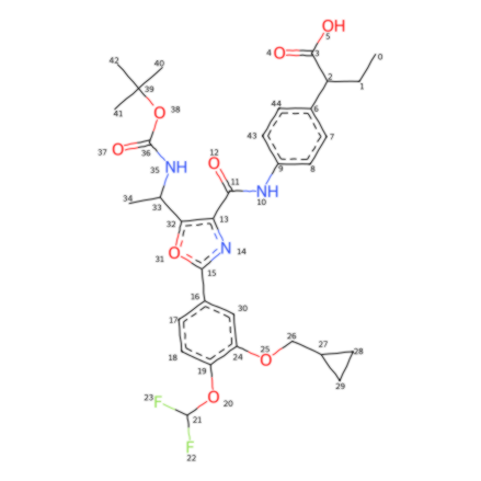 CCC(C(=O)O)c1ccc(NC(=O)c2nc(-c3ccc(OC(F)F)c(OCC4CC4)c3)oc2C(C)NC(=O)OC(C)(C)C)cc1